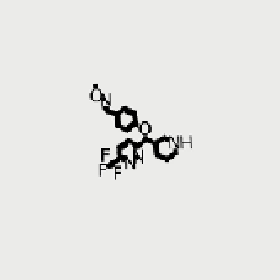 CON=Cc1ccc(OC(c2ccc(C(F)(F)F)nn2)C2CCCNC2)cc1